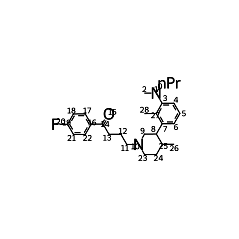 CCCN(C)c1cccc(C2CN(CCCC(=O)c3ccc(F)cc3)CCC2C)c1C